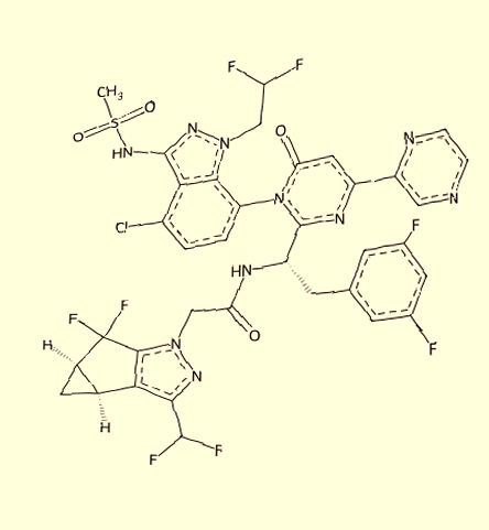 CS(=O)(=O)Nc1nn(CC(F)F)c2c(-n3c([C@H](Cc4cc(F)cc(F)c4)NC(=O)Cn4nc(C(F)F)c5c4C(F)(F)[C@@H]4C[C@H]54)nc(-c4cnccn4)cc3=O)ccc(Cl)c12